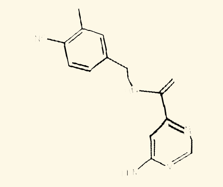 Cc1cc(CNC(=O)c2cc(N)ncn2)ccc1C#N